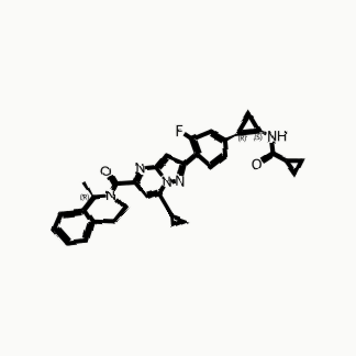 C[C@@H]1c2ccccc2CCN1C(=O)c1cc(C2CC2)n2nc(-c3ccc([C@H]4C[C@@H]4NC(=O)C4CC4)cc3F)cc2n1